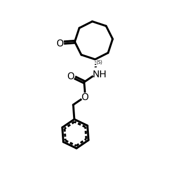 O=C1CCCCC[C@H](NC(=O)OCc2ccccc2)C1